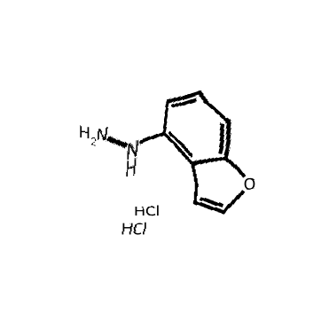 Cl.Cl.NNc1cccc2occc12